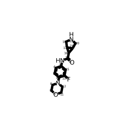 O=C(Nc1ccc(N2CCOCC2)c(F)c1)C1C2CNCC21